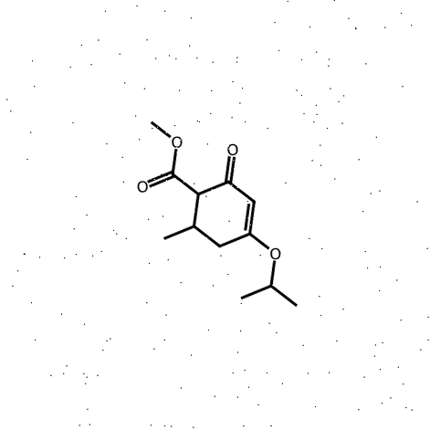 COC(=O)C1C(=O)C=C(OC(C)C)CC1C